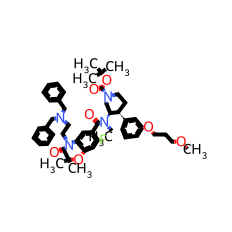 CCN(C(=O)c1cc2c(cc1F)OC(C)(C)C(=O)N2CCN(Cc1ccccc1)Cc1ccccc1)[C@H]1CN(C(=O)OC(C)(C)C)CC[C@@H]1c1cccc(OCCCOC)c1